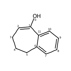 OC1=CCCCc2ccccc21